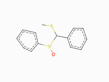 CSC(c1ccccc1)[S+]([O-])c1ccccc1